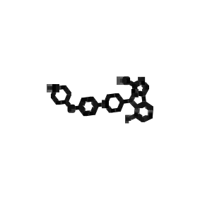 Oc1ncc2n1C(C1CCN(c3ccc(OC4CCNCC4)cc3)CC1)c1c(F)cccc1-2